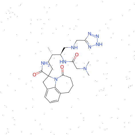 C[C@@H](CCC1(C(N)=O)Cc2cccc3c2N1C(=O)CCC3)[C@@H](CNCc1nn[nH]n1)NC(=O)CN(C)C